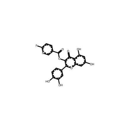 O=C(Oc1c(-c2ccc(O)c(O)c2)oc2cc(O)cc(O)c2c1=O)c1ccc(F)nc1